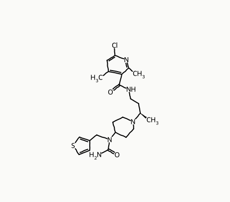 Cc1cc(Cl)nc(C)c1C(=O)NCC[C@@H](C)N1CCC(N(Cc2ccsc2)C(N)=O)CC1